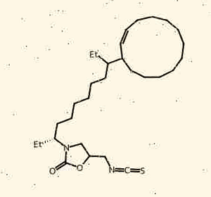 CCC(CCCCCC[C@@H](CC)N1CC(CN=C=S)OC1=O)C1/C=C\CCCCCCCCCC1